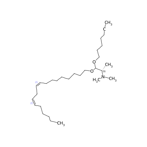 CCCCC/C=C\C/C=C\CCCCCCCCOC(OCCCCCCC)[C@H](C)N(C)C